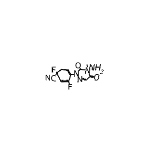 C[N+]1(N)C(=O)C=NN(C2=CCC(F)(C#N)C=C2F)C1=O